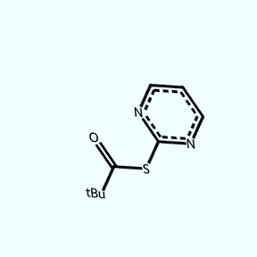 CC(C)(C)C(=O)Sc1ncccn1